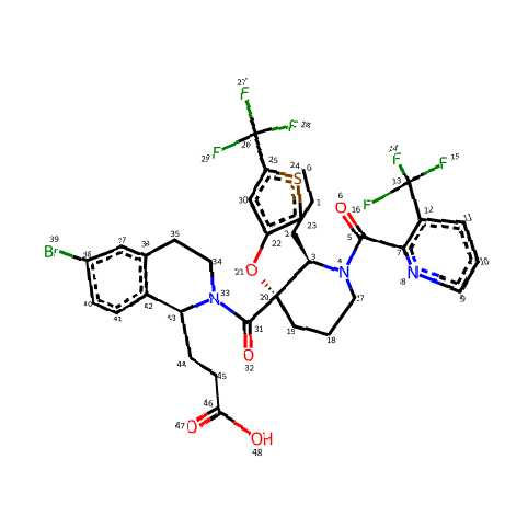 CCC[C@H]1N(C(=O)c2ncccc2C(F)(F)F)CCC[C@@]1(Oc1csc(C(F)(F)F)c1)C(=O)N1CCc2cc(Br)ccc2C1CCC(=O)O